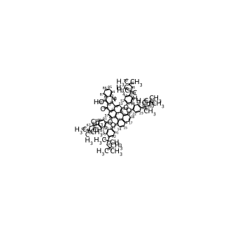 CC(C)(C)CC(C)(C)c1ccc(Oc2ccc3ccc(Oc4ccc(C(C)(C)CC(C)(C)C)cc4)c4c5c(Oc6ccc(C(C)(C)CC(C)(C)C)cc6)cc6c7c(cc(Oc8ccc(C(C)(C)CC(C)(C)C)cc8)c(c2c34)c75)C(=O)c2c-6nc3ccccc3c2O)cc1